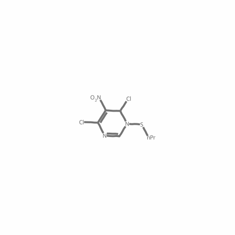 CCCSN1C=NC(Cl)=C([N+](=O)[O-])C1Cl